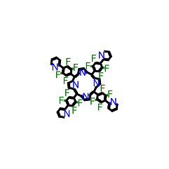 Fc1c(F)c(-c2ccccn2)c(F)c(F)c1C1=C2C=CC(=N2)C(c2c(F)c(F)c(-c3ccccn3)c(F)c2F)=C2C=CC(=N2)C(c2c(F)c(F)c(-c3ccccn3)c(F)c2F)=C2C=CC(=N2)C(c2c(F)c(F)c(-c3ccccn3)c(F)c2F)=C2C=CC1=N2